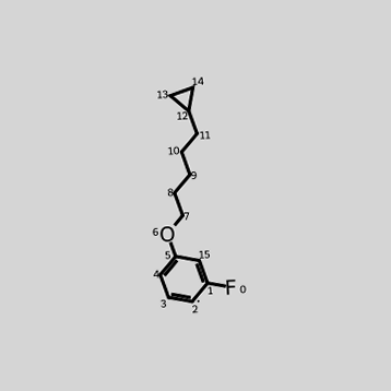 Fc1[c]ccc(OCCCCCC2CC2)c1